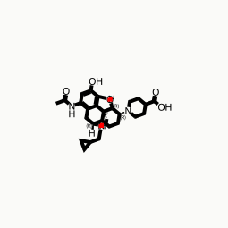 CC(=O)Nc1cc(O)c2c3c1C[C@@H]1[C@@H]4CC[C@@H](N5CCC(C(=O)O)CC5)[C@H](O2)[C@]34CCN1CC1CC1